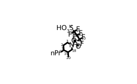 CCCC1CCN(S(=O)(=O)C(F)(F)C(F)(F)C(F)(F)S(=O)(=O)O)CC1C